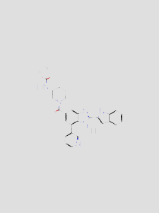 CCn1c(-c2nc3cc(C(=O)N4CCC[C@@H](NC(=O)OC(C)(C)C)C4)cc(-c4cccnc4)c3n2C)cc2ccccc21